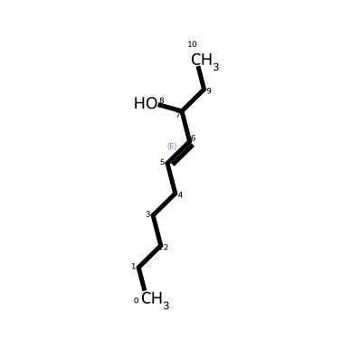 CC[CH]CC/C=C/C(O)CC